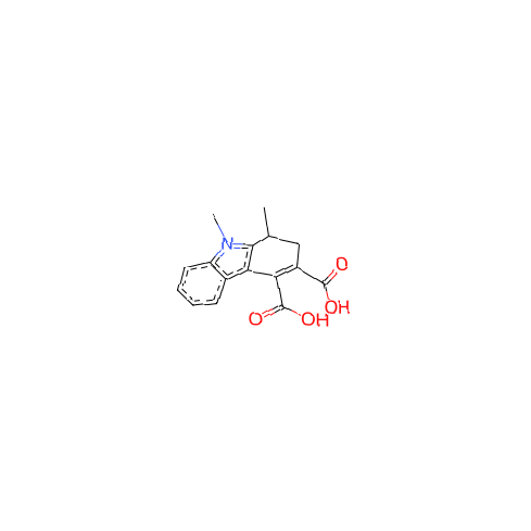 CC1CC(C(=O)O)=C(C(=O)O)c2c1n(C)c1ccccc21